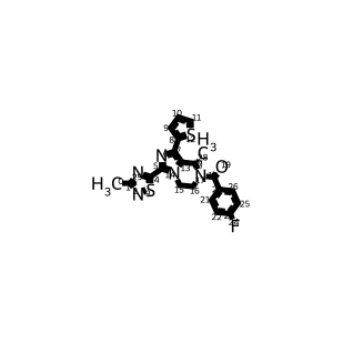 Cc1nsc(-c2nc(-c3cccs3)c3n2CCN(C(=O)c2ccc(F)cc2)[C@@H]3C)n1